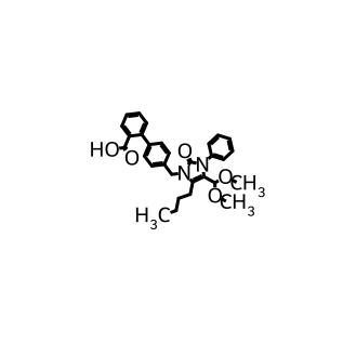 CCCCc1c(C(OC)OC)n(-c2ccccc2)c(=O)n1Cc1ccc(-c2ccccc2C(=O)O)cc1